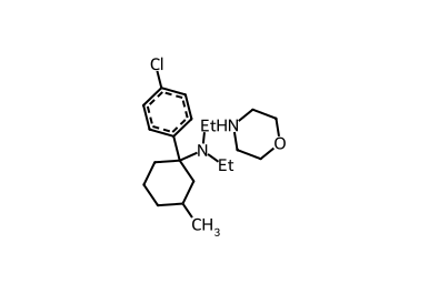 C1COCCN1.CCN(CC)C1(c2ccc(Cl)cc2)CCCC(C)C1